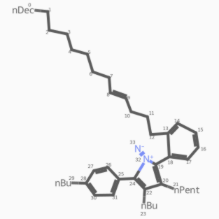 CCCCCCCCCCCCCCCCCC=CCCCc1ccccc1C1=C(CCCCC)C(CCCC)=C(c2ccc(CCCC)cc2)[N+]1=[N-]